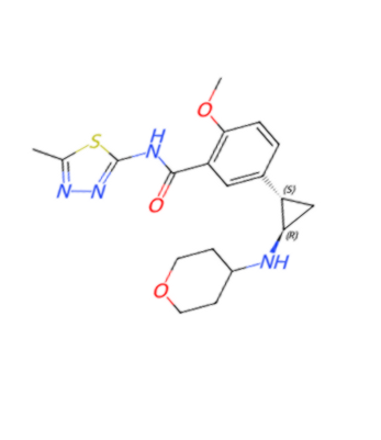 COc1ccc([C@@H]2C[C@H]2NC2CCOCC2)cc1C(=O)Nc1nnc(C)s1